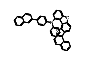 c1ccc(N(c2ccc(-c3ccc4ccccc4c3)cc2)c2cccc3oc4ccc5c(sc6ccc7ccccc7c65)c4c23)cc1